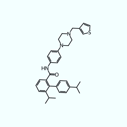 CC(C)c1ccc(-c2c(C(=O)Nc3ccc(N4CCN(Cc5ccsc5)CC4)cc3)cccc2C(C)C)cc1